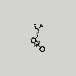 O=CN(CCCc1cccc2nc(-c3ccccc3)oc12)C1CC1